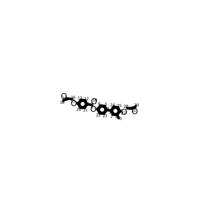 Cc1cc(-c2ccc(OC(=O)c3ccc(OCC4CO4)cc3)cc2)ccc1OCC1CO1